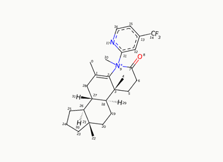 CC1=C2[C@](C)(CCC(=O)[N+]2(C)c2cc(C(F)(F)F)ccn2)[C@H]2CC[C@]3(C)CCC[C@H]3[C@@H]2C1